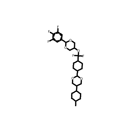 CC1CCC(C2COC(C3CCC(C(F)(F)OC4COC(c5cc(F)c(F)c(F)c5)OC4)CC3)OC2)CC1